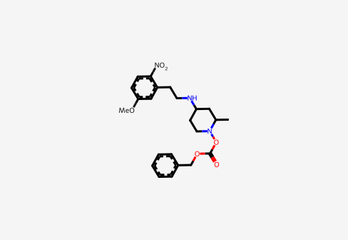 COc1ccc([N+](=O)[O-])c(CCNC2CCN(OC(=O)OCc3ccccc3)C(C)C2)c1